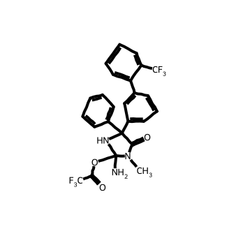 CN1C(=O)C(c2ccccc2)(c2cccc(-c3ccccc3C(F)(F)F)c2)NC1(N)OC(=O)C(F)(F)F